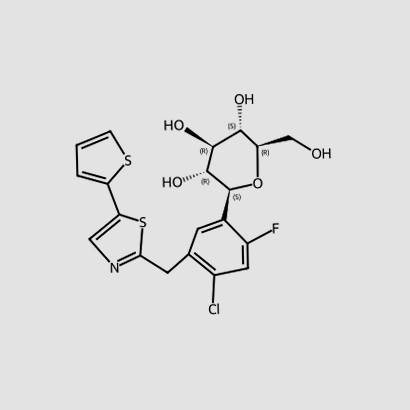 OC[C@H]1O[C@@H](c2cc(Cc3ncc(-c4cccs4)s3)c(Cl)cc2F)[C@H](O)[C@@H](O)[C@@H]1O